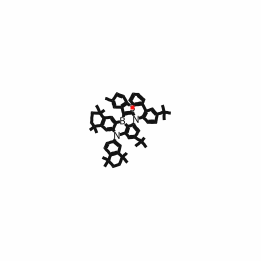 Cc1ccc2sc3c(c2c1)B1c2cc4c(cc2N(c2ccc5c(c2)C(C)(C)CCC5(C)C)c2cc(C(C)(C)C)cc(c21)N3c1ccc(C(C)(C)C)cc1-c1ccccc1)C(C)(C)CCC4(C)C